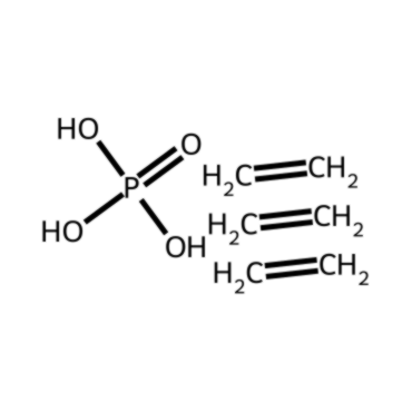 C=C.C=C.C=C.O=P(O)(O)O